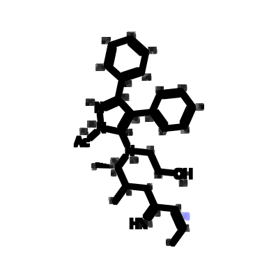 C/C=C\C(=N)CC(C)[C@H](C)N(CCO)c1c(-c2ccccc2)c(-c2ccccc2)nn1C(C)=O